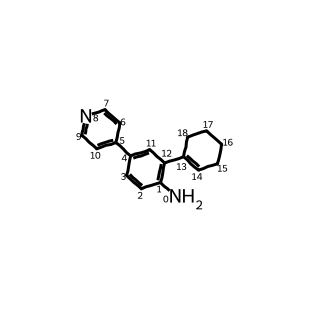 Nc1ccc(-c2ccncc2)cc1C1=CCCCC1